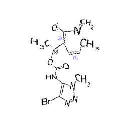 C=N/C(Cl)=C(\C=C/C)[C@@H](C)OC(=O)Nc1c(Br)nnn1C